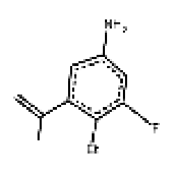 C=C(C)c1cc(N)cc(F)c1CC